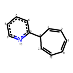 C1=CC=CC(c2ccccn2)C=C1